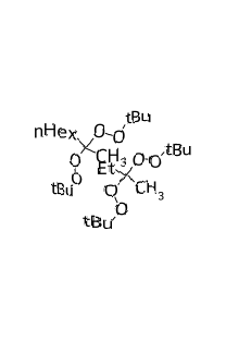 CCC(C)(OOC(C)(C)C)OOC(C)(C)C.CCCCCCC(C)(OOC(C)(C)C)OOC(C)(C)C